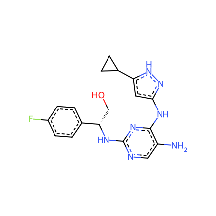 Nc1cnc(N[C@@H](CO)c2ccc(F)cc2)nc1Nc1cc(C2CC2)[nH]n1